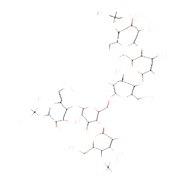 CC(C)(C)OC1OC(CO)C(OC2CC(O)C(OC3OC(CO)C(OC(C)(C)C)C(O)C3O)C(COC3OC(CO)C(OC4OC(CO)C(OC5OC(CO)C(OC(C)(C)C)C(O)C5O)C(O)C4O)C(O)C3O)O2)C(O)C1O